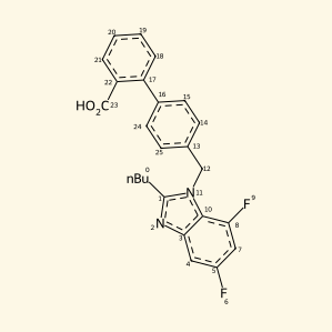 CCCCc1nc2cc(F)cc(F)c2n1Cc1ccc(-c2ccccc2C(=O)O)cc1